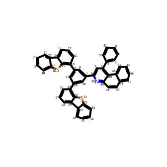 c1ccc(-c2cc(-c3cc(-c4cccc5c4sc4ccccc45)cc(-c4cccc5c4sc4ccccc45)c3)nc3ccc4ccccc4c23)cc1